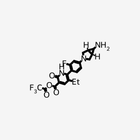 CCc1cc(C(=O)OC(=O)C(F)(F)F)c(=O)[nH]c1-c1ccc(N2C[C@@H]3C(N)[C@@H]3C2)cc1F